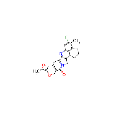 CC1=C2OCc3c(cc4n(c3=O)Cc3c-4nc4cc(F)c(C)c5c4c3CCC5)C2O1